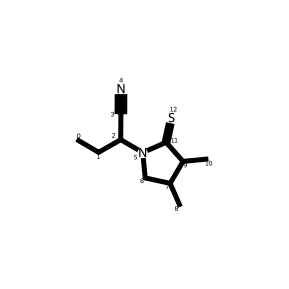 CCC(C#N)N1CC(C)C(C)C1=S